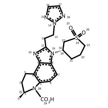 C[C@H]1CCc2c(ccc3c2nc(CCn2nccn2)n3[C@H]2CCCS(=O)(=O)C2)N1C(=O)O